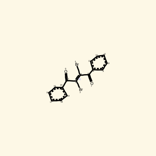 O=C(/C(Br)=C(\Br)C(=O)c1ccccc1)c1ccccc1